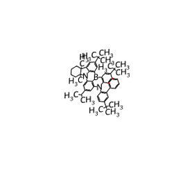 CC(C)c1cc2c3c(c1)N1c4c(cc(C(C)(C)C)cc4C4(C)CCCCC14C)B3c1cc(C(C)(C)C)ccc1N2c1ccc(C(C)(C)C)cc1-c1ccccc1